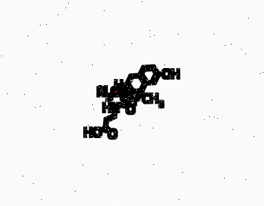 CN1CC[C@]2(C)c3cc(O)ccc3C[C@@H]1[C@H]2N(C)C(=O)NCCC(=O)O